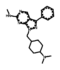 CNc1ncc2c(-c3ccccc3)nn(CC3CCC(N(C)C)CC3)c2n1